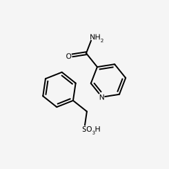 NC(=O)c1cccnc1.O=S(=O)(O)Cc1ccccc1